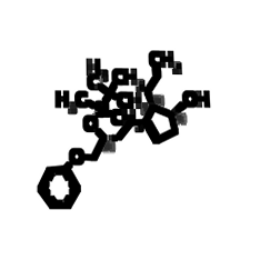 C=CC[C@@H]1C(CC[C@H](COc2ccccc2)O[Si](C)(C)C(C)(C)C)=CC[C@@H]1O